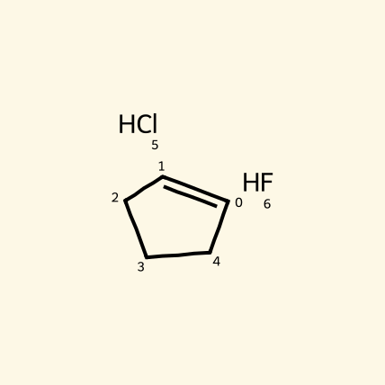 C1=CCCC1.Cl.F